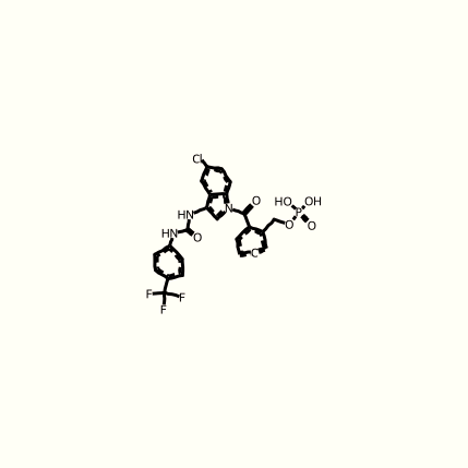 O=C(Nc1ccc(C(F)(F)F)cc1)Nc1cn(C(=O)c2ccccc2COP(=O)(O)O)c2ccc(Cl)cc12